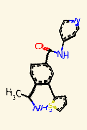 CC(N)c1ccc(C(=O)Nc2ccncc2)cc1-c1cccs1